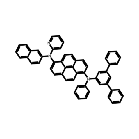 c1ccc(-c2cc(-c3ccccc3)cc(N(c3ccccc3)c3ccc4ccc5c(N(c6ccc7ccccc7c6)c6ccccn6)ccc6ccc3c4c65)c2)cc1